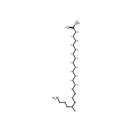 CC(CCCN)CCCCCCCCCCCCCCCCCC(=O)O